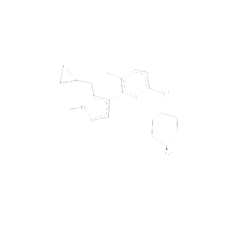 Cn1ncc(-c2cc(N[C@H]3CC[C@H](N)CC3)ncc2Cl)c1CC1CC1